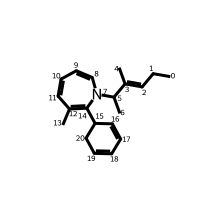 CC/C=C(\C)C(C)N1C=CC=CC(C)=C1C1C=CC=CC1